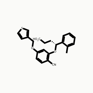 Cc1ccccc1[C@@H](CCC(=O)O)Oc1cc(OCc2ccsc2)ccc1C#N